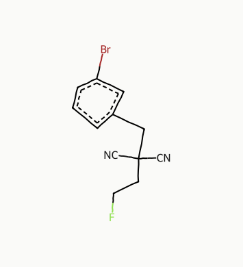 N#CC(C#N)(CCF)Cc1cccc(Br)c1